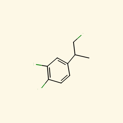 C[C](CF)c1ccc(Cl)c(F)c1